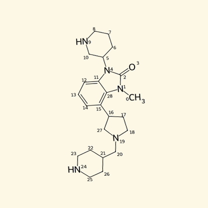 Cn1c(=O)n(C2CCCNC2)c2cccc(C3CCN(CC4CCNCC4)C3)c21